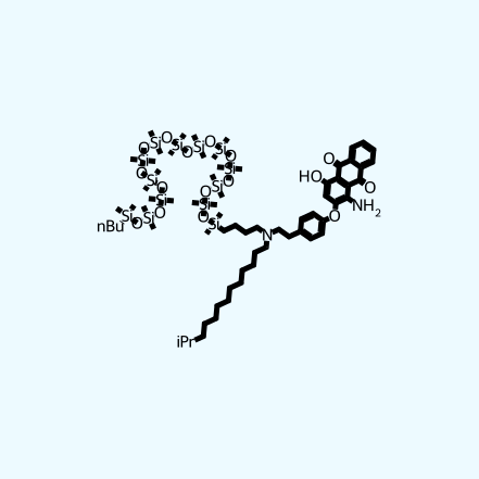 CCCC[Si](C)(C)O[Si](C)(C)O[Si](C)(C)O[Si](C)(C)O[Si](C)(C)O[Si](C)(C)O[Si](C)(C)O[Si](C)(C)O[Si](C)(C)O[Si](C)(C)O[Si](C)(C)O[Si](C)(C)O[Si](C)(C)CCCCN(CCCCCCCCCCCC(C)C)CCc1ccc(Oc2cc(O)c3c(c2N)C(=O)c2ccccc2C3=O)cc1